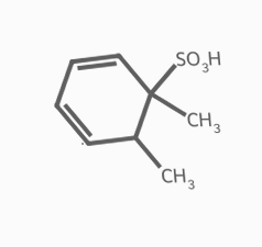 CC1[C]=CC=CC1(C)S(=O)(=O)O